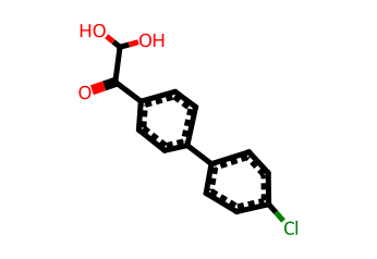 O=C(c1ccc(-c2ccc(Cl)cc2)cc1)C(O)O